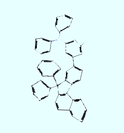 Clc1cc(-c2ccc3c(c2)C(c2ccccc2)(c2ccccc2)c2ccc4ccccc4c2-3)cc(N(c2ccccc2)c2ccccc2)c1